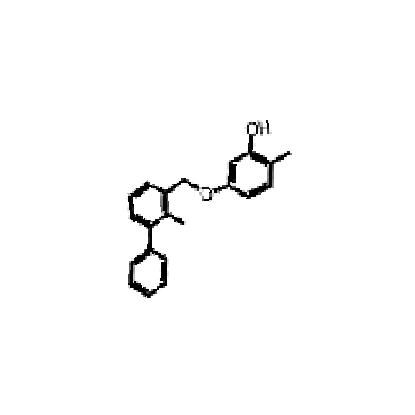 Cc1ccc(OCc2cccc(-c3ccccc3)c2C)cc1O